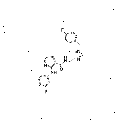 O=C(NCc1cn(Cc2ccc(F)cc2)nn1)c1cccnc1Nc1cccc(F)c1